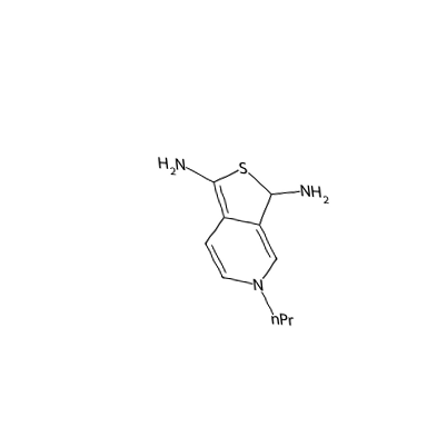 CCCN1C=CC2=C(N)SC(N)C2=C1